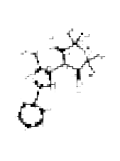 CCc1sc(-c2ccccc2)nc1C1C(=O)C(C)(C)OC(C)(C)C1=O